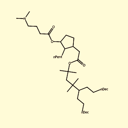 CCCCCCCCCCCCC(CCCCCCCCCCCC)C(C)(C)CC(C)(C)OC(=O)CC1CCC(OC(=O)CCCN(C)C)C1CCCCC